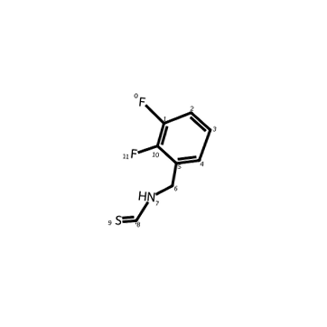 Fc1cccc(CN[C]=S)c1F